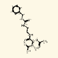 CC(=O)O[C@@H](C(=O)NCCNC(=O)OCc1ccccc1)[C@H](O)C(=O)O